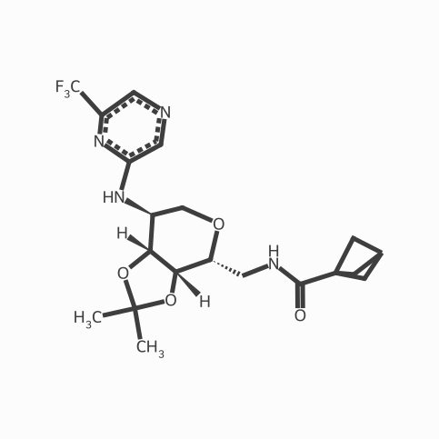 CC1(C)O[C@@H]2[C@H](O1)[C@@H](Nc1cncc(C(F)(F)F)n1)CO[C@@H]2CNC(=O)C12CC(C1)C2